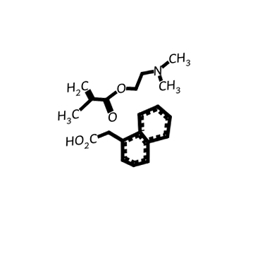 C=C(C)C(=O)OCCN(C)C.O=C(O)Cc1cccc2ccccc12